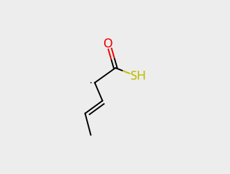 C/C=C/[CH]C(=O)S